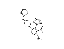 NSc1ccc(N2CCC(Oc3ccccn3)CC2)c(-c2nnn[nH]2)c1[SH](=O)=O